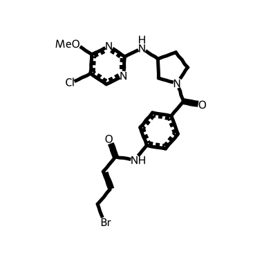 COc1nc(NC2CCN(C(=O)c3ccc(NC(=O)/C=C/CBr)cc3)C2)ncc1Cl